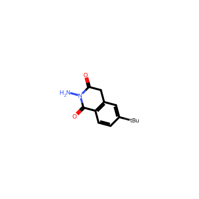 CC(C)(C)c1ccc2c(c1)CC(=O)N(N)C2=O